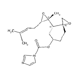 CC(C)=CCC1O[C@]1(C)[C@H]1CC(OC(=O)n2ccnc2)CC[C@]12CO2